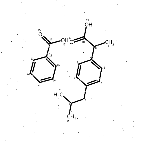 CC(C)Cc1ccc(C(C)C(=O)O)cc1.O=C(O)c1ccccc1